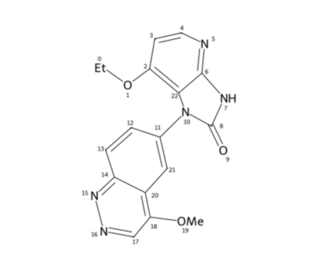 CCOc1ccnc2[nH]c(=O)n(-c3ccc4nncc(OC)c4c3)c12